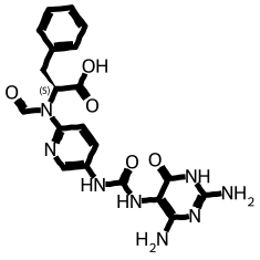 Nc1nc(N)c(NC(=O)Nc2ccc(N(C=O)[C@@H](Cc3ccccc3)C(=O)O)nc2)c(=O)[nH]1